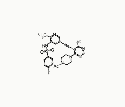 CCc1ncnc(N2CCN(C(C)=O)CC2)c1C#Cc1cnc(C)c(NS(=O)(=O)c2ccc(F)cc2)c1